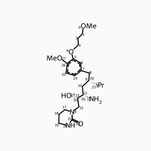 COCCCOc1cc(C[C@@H](C[C@H](N)[C@@H](O)CN2CCCNC2=O)C(C)C)ccc1OC